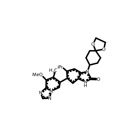 COc1c(C)c(-c2cc3[nH]c(=O)n(C4CCC5(CC4)OCCO5)c3cc2C(C)C)cn2ncnc12